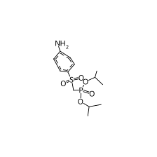 CC(C)OP(=O)(CS(=O)(=O)c1ccc(N)cc1)OC(C)C